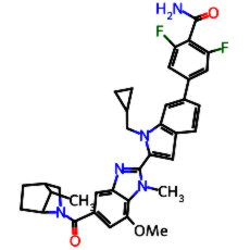 COc1cc(C(=O)N2CC3CCC2C3C)cc2nc(-c3cc4ccc(-c5cc(F)c(C(N)=O)c(F)c5)cc4n3CC3CC3)n(C)c12